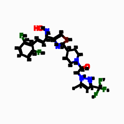 Cc1cc(C(F)(F)F)nn1CC(=O)N1CCC(c2nc(C(/C=C/c3c(F)cccc3F)=N/O)cs2)CC1